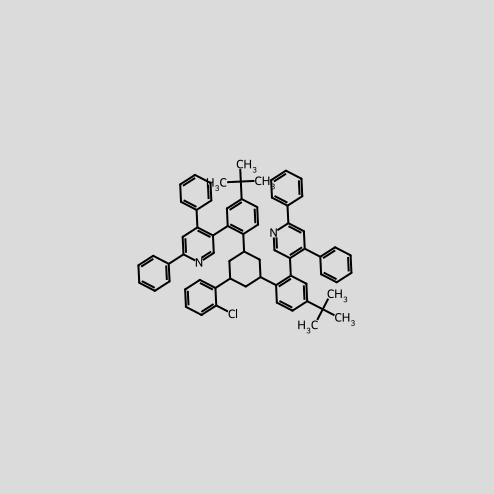 CC(C)(C)c1ccc(C2CC(c3ccccc3Cl)CC(c3ccc(C(C)(C)C)cc3-c3cnc(-c4ccccc4)cc3-c3ccccc3)C2)c(-c2cnc(-c3ccccc3)cc2-c2ccccc2)c1